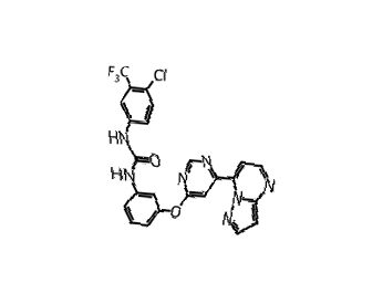 O=C(Nc1cccc(Oc2cc(-c3ccnc4ccnn34)ncn2)c1)Nc1ccc(Cl)c(C(F)(F)F)c1